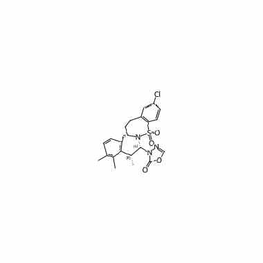 Cc1ccc(F)c([C@@H](C)[C@H](N2CCCc3cc(Cl)ccc3S2(=O)=O)n2ncoc2=O)c1C